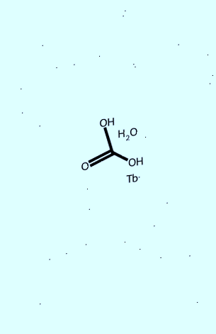 O.O=C(O)O.[Tb]